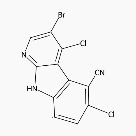 N#Cc1c(Cl)c[c]c2[nH]c3ncc(Br)c(Cl)c3c12